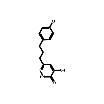 O=c1[nH]nc(CCCc2ccc(Cl)cc2)cc1O